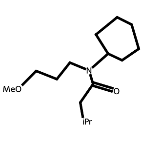 COCCCN(C(=O)CC(C)C)C1CCCCC1